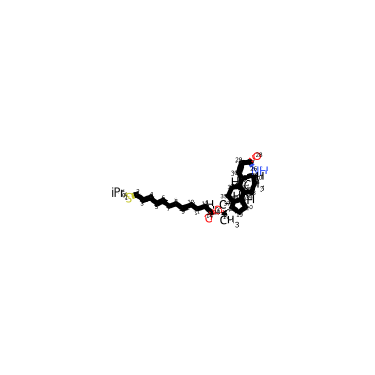 CC(C)SCCCCCCCCCCCC(=O)OC(C)[C@H]1CC[C@H]2[C@@H]3CC[C@H]4NC(=O)C=C[C@]4(C)[C@H]3CC[C@]12C